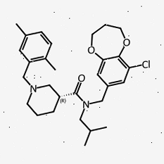 Cc1ccc(C)c(CN2CCC[C@@H](C(=O)N(Cc3cc(Cl)c4c(c3)OCCCO4)CC(C)C)C2)c1